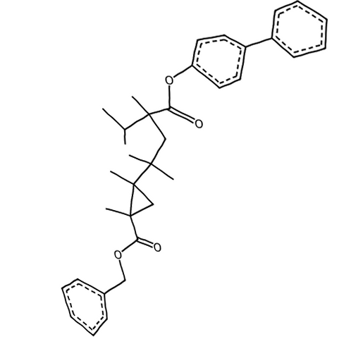 CC(C)C(C)(CC(C)(C)C1(C)CC1(C)C(=O)OCc1ccccc1)C(=O)Oc1ccc(-c2ccccc2)cc1